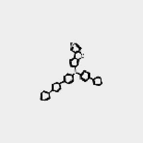 c1ccc(-c2ccc(-c3ccc(N(c4ccc(-c5ccccc5)cc4)c4ccc5c(c4)oc4ccncc45)cc3)cc2)cc1